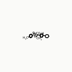 Cc1ccc(S(=O)(=O)OC(C)C(C(=O)O)c2ccc(C3CCCCC3)cc2)cc1